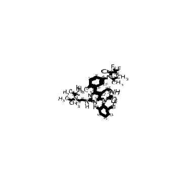 Cc1ccc(N(C(=O)C(F)(F)F)C(C)C)cc1-c1nc(NCCN(C(C)C)C(C)C)nc2c1CNC(=O)N2c1c(F)cccc1F